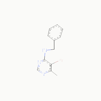 Cc1ncnc(NCc2ccccc2)c1Br